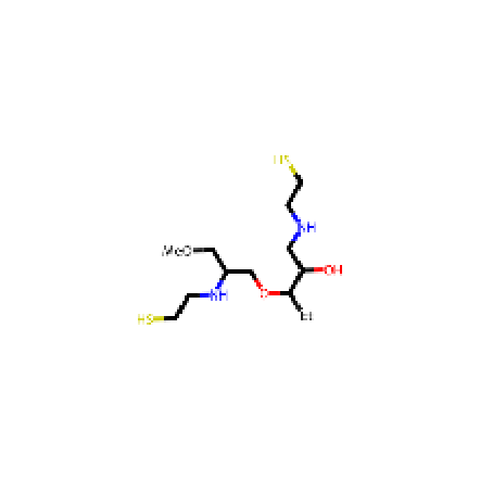 CCC(OCC(COC)NCCS)C(O)CNCCS